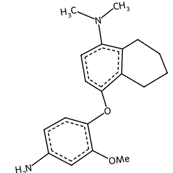 COc1cc(N)ccc1Oc1ccc(N(C)C)c2c1CCCC2